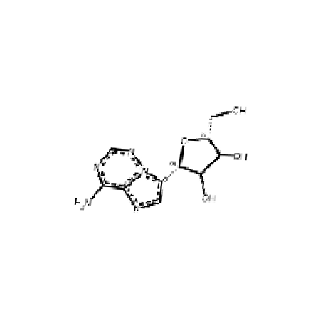 Nc1ncnn2c([C@@H]3O[C@H](CO)C(O)C3O)cnc12